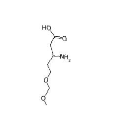 COCOCCC(N)CC(=O)O